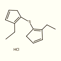 CCC1=[C]([Ti][C]2=C(CC)C=CC2)CC=C1.Cl